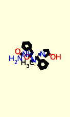 CN(C(=O)Cc1ccccc1NC(N)=O)[C@H](CN1CCC(O)C1)c1ccccc1